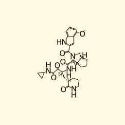 COc1cccc2[nH]c(C(=O)N3C[C@@H]4CCC[C@@H]4[C@H]3C(=O)N[C@@H](C[C@@H]3CCCNC3=O)C(=O)C(=O)NC3CC3)cc12